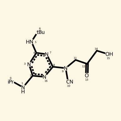 CC(C)Nc1nc(NC(C)(C)C)nc(N(C#N)CC(=O)CO)n1